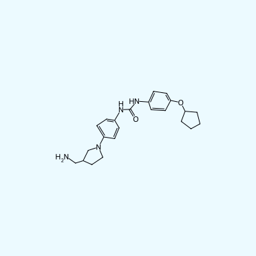 NCC1CCN(c2ccc(NC(=O)Nc3ccc(OC4CCCC4)cc3)cc2)C1